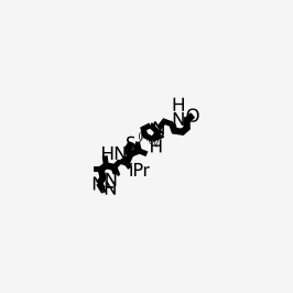 Cc1c(-c2[nH]c3sc([C@@H]4CC5C[C@H]4CN5Cc4cccc(=O)[nH]4)c(C)c3c2C(C)C)cn2ncnc2c1C